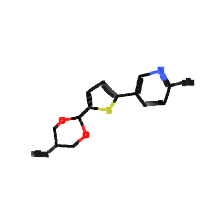 CCCCCCC1COC(c2ccc(-c3ccc(CCCC)nc3)s2)OC1